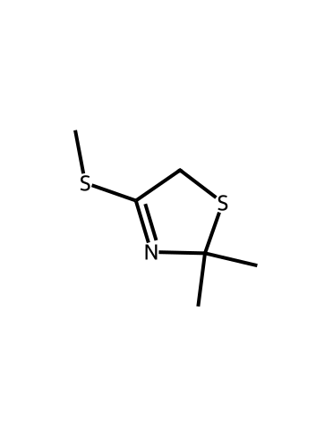 CSC1=NC(C)(C)SC1